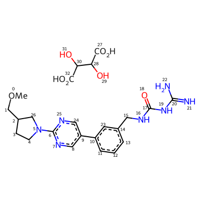 COCC1CCN(c2ncc(-c3cccc(CNC(=O)NC(=N)N)c3)cn2)C1.O=C(O)C(O)C(O)C(=O)O